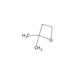 CC1(C)[CH]CO1